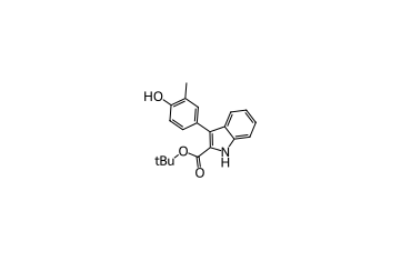 Cc1cc(-c2c(C(=O)OC(C)(C)C)[nH]c3ccccc23)ccc1O